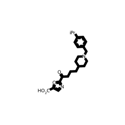 CC(C)c1ccc(CN2CCC(CCCC(=O)c3ncc(C(=O)O)o3)CC2)cc1